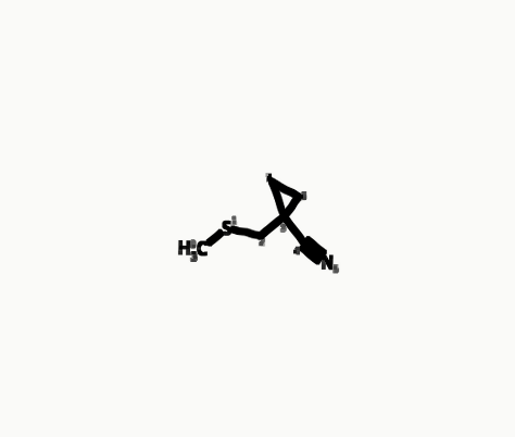 CSCC1(C#N)CC1